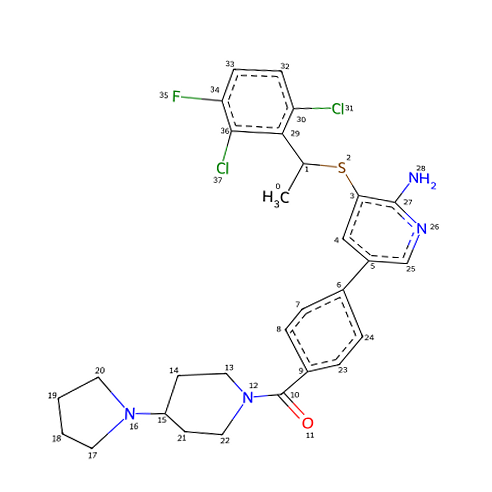 CC(Sc1cc(-c2ccc(C(=O)N3CCC(N4CCCC4)CC3)cc2)cnc1N)c1c(Cl)ccc(F)c1Cl